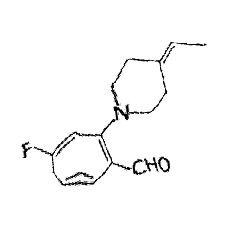 CC=C1CCN(c2cc(F)ccc2C=O)CC1